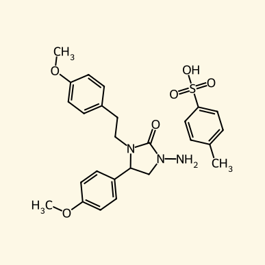 COc1ccc(CCN2C(=O)N(N)CC2c2ccc(OC)cc2)cc1.Cc1ccc(S(=O)(=O)O)cc1